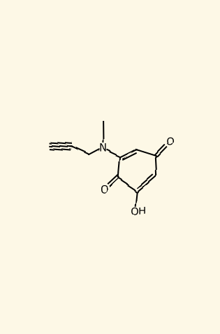 C#CCN(C)C1=CC(=O)C=C(O)C1=O